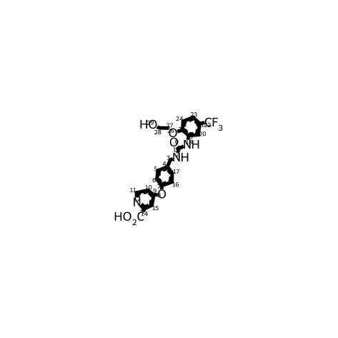 O=C(NCc1ccc(Oc2ccnc(C(=O)O)c2)cc1)Nc1cc(C(F)(F)F)ccc1OCCO